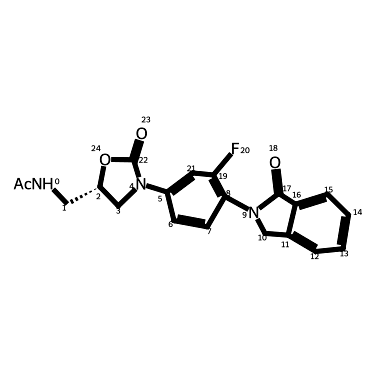 CC(=O)NC[C@H]1CN(c2ccc(N3Cc4ccccc4C3=O)c(F)c2)C(=O)O1